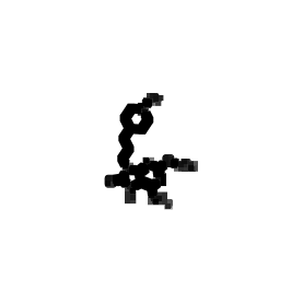 CCCCOc1nc(N)c2[nH]c(=O)n(CCCC3CCN(C(C)C)CC3)c2n1